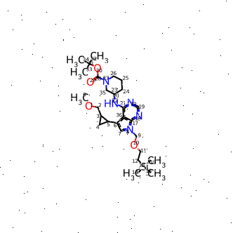 COCC1CC1c1cn(COCC[Si](C)(C)C)c2ncnc(N[C@@H]3CCCN(C(=O)OC(C)(C)C)C3)c12